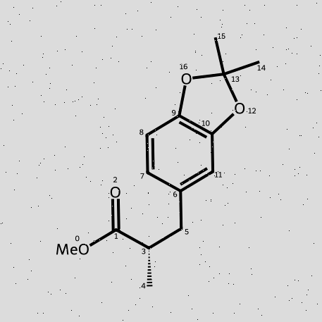 COC(=O)[C@@H](C)Cc1ccc2c(c1)OC(C)(C)O2